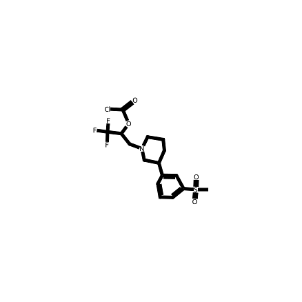 CS(=O)(=O)c1cccc(C2CCCN(CC(OC(=O)Cl)C(F)(F)F)C2)c1